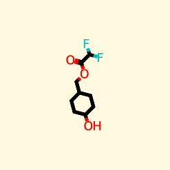 O=C(OCC1CCC(O)CC1)C(F)F